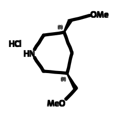 COC[C@H]1CNC[C@@H](COC)C1.Cl